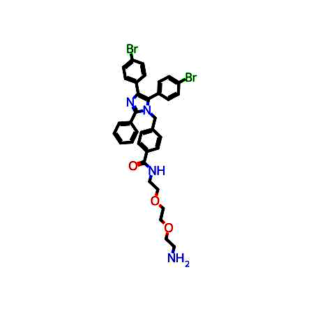 NCCOCCOCCNC(=O)c1ccc(Cn2c(-c3ccccc3)nc(-c3ccc(Br)cc3)c2-c2ccc(Br)cc2)cc1